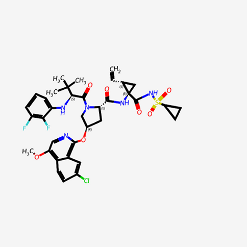 C=C[C@@H]1C[C@]1(NC(=O)[C@@H]1C[C@@H](Oc2ncc(OC)c3ccc(Cl)cc23)CN1C(=O)[C@@H](Nc1cccc(F)c1F)C(C)(C)C)C(=O)NS(=O)(=O)C1CC1